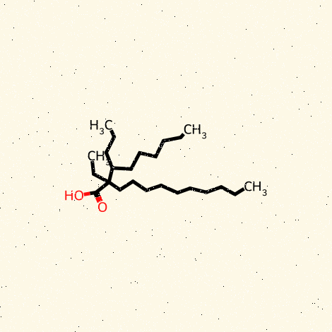 CCCCCCCCCCC(CC)(C(=O)O)C(CCC)CCCCCC